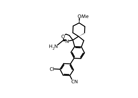 CO[C@H]1CC[C@]2(CC1)Cc1ccc(-c3cc(Cl)cc(C#N)c3)cc1C21CCOC(N)=N1